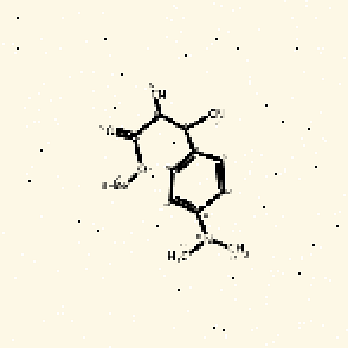 CCCCCCOC(=O)C(C#N)C(C#N)c1ccc(N(C)C)cc1